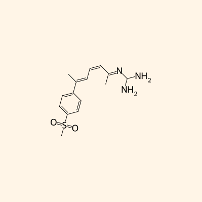 C\C(=C/C=C\C(C)=N\C(N)N)c1ccc(S(C)(=O)=O)cc1